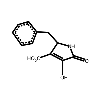 O=C(O)C1=C(O)C(=O)NC1Cc1ccccc1